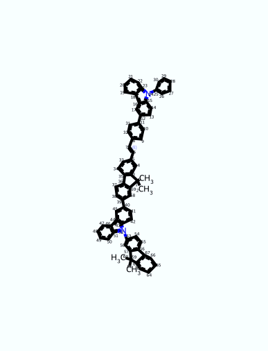 CC1(C)c2cc(/C=C/c3ccc(-c4ccc5c(c4)c4ccccc4n5-c4ccccc4)cc3)ccc2-c2ccc(-c3ccc4c(c3)c3ccccc3n4-c3ccc4c(c3)C(C)(C)c3ccccc3-4)cc21